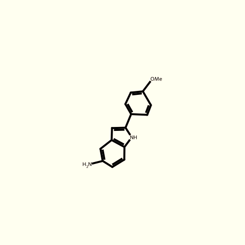 COc1ccc(-c2cc3cc(N)ccc3[nH]2)cc1